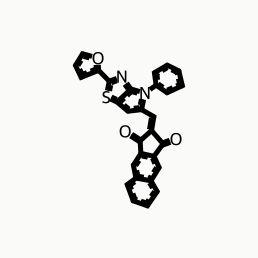 O=C1C(=Cc2cc3sc(-c4ccco4)nc3n2-c2ccccc2)C(=O)c2cc3ccccc3cc21